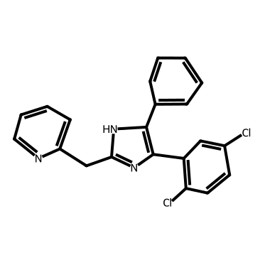 Clc1ccc(Cl)c(-c2nc(Cc3ccccn3)[nH]c2-c2ccccc2)c1